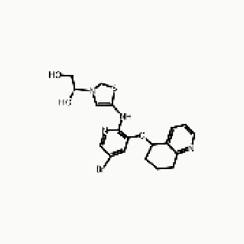 OC[C@H](O)N1C=C(Nc2ncc(Br)cc2OC2CCCc3ncccc32)SC1